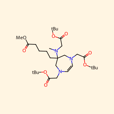 COC(=O)CCCCC1(N(C)CC(=O)OC(C)(C)C)CN(CC(=O)OC(C)(C)C)C=CN(CC(=O)OC(C)(C)C)C1